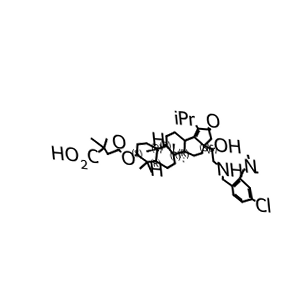 CC(C)C1=C2C3CC[C@@H]4[C@@]5(C)CC[C@H](OC(=O)CC(C)(C)C(=O)O)C(C)(C)[C@@H]5CC[C@@]4(C)[C@]3(C)CC[C@]2([C@H](O)CNCc2ccc(Cl)cc2CN(C)C)CC1=O